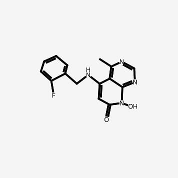 Cc1ncnc2c1c(NCc1ccccc1F)cc(=O)n2O